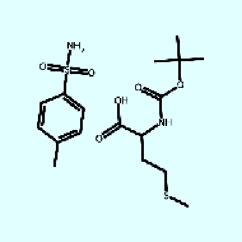 CSCCC(NC(=O)OC(C)(C)C)C(=O)O.Cc1ccc(S(N)(=O)=O)cc1